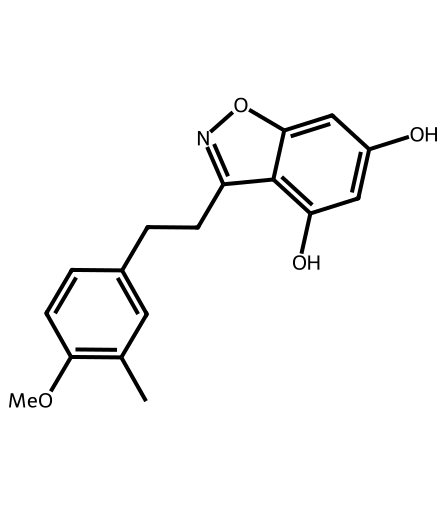 COc1ccc(CCc2noc3cc(O)cc(O)c23)cc1C